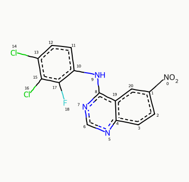 O=[N+]([O-])c1ccc2ncnc(Nc3ccc(Cl)c(Cl)c3F)c2c1